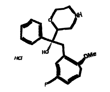 COc1ccc(F)cc1C[C@@](O)(c1ccccc1)C1CNCCO1.Cl